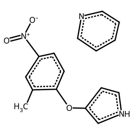 Cc1cc([N+](=O)[O-])ccc1Oc1cc[nH]c1.c1ccncc1